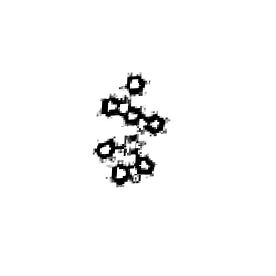 c1ccc(-c2nc(-c3cccc4oc5ccccc5c34)nc(-n3c4ccccc4c4cc5c(cc43)c3ccccc3n5-c3ccccc3)n2)cc1